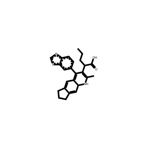 CCCC(C(=O)O)C1=C(C)NC2C=C3CCCC3=CC2=C1c1ccc2ncsc2c1